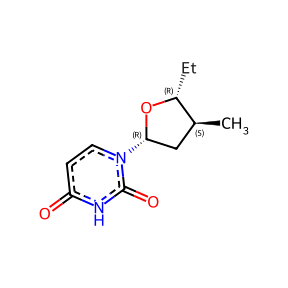 CC[C@H]1O[C@@H](n2ccc(=O)[nH]c2=O)C[C@@H]1C